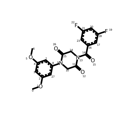 COc1cc(OC)cc(N2CC(=O)N(C(=O)c3cc(F)cc(F)c3)CC2=O)c1